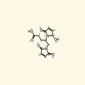 O=C(O)CCC(CN1C(=O)C=CC1=O)N1C(=O)C=CC1O